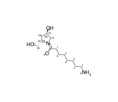 NCCCCCCCC(=O)N1C[C@H](O)C[C@H]1CO